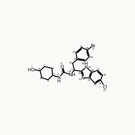 O=C(NC1CCC(O)CC1)NC(Cc1ccc(Br)cc1)c1nc2cc(Cl)ccc2[nH]1